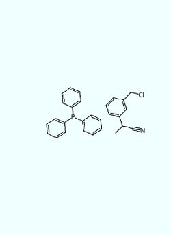 CC(C#N)c1cccc(CCl)c1.c1ccc(P(c2ccccc2)c2ccccc2)cc1